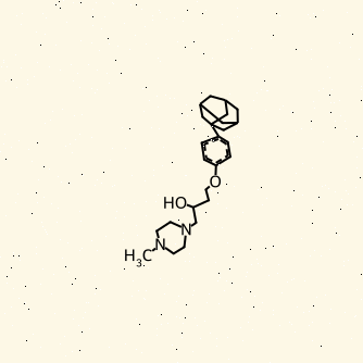 CN1CCN(CC(O)CCOc2ccc(C34CC5CC(CC(C5)C3)C4)cc2)CC1